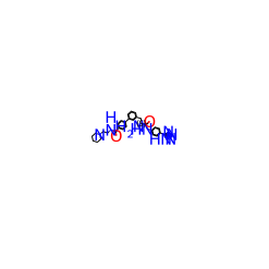 N[C@@H](Cc1cccc(-c2ccc(C(=O)NCCN3CCCCC3)cc2)c1)C(=O)Nc1ccc(-c2nnn[nH]2)cc1